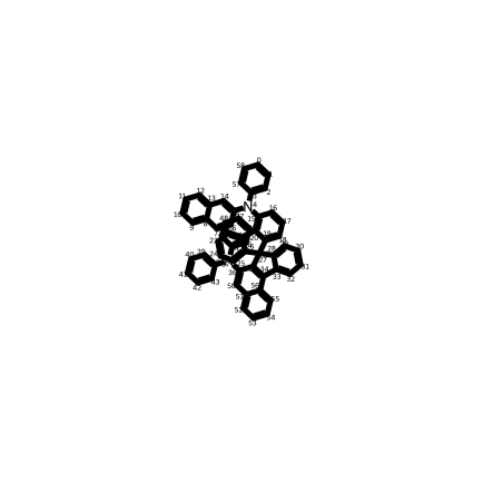 c1ccc(N(c2ccc3ccccc3c2)c2cccc3c2-c2ccccc2C32c3ccccc3-c3c2c(N(c2ccccc2)c2ccccc2)cc2ccccc32)cc1